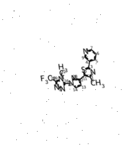 Cc1nc(-c2cccnc2)sc1-c1ccn(-c2nnc(C(F)(F)F)n2C)n1